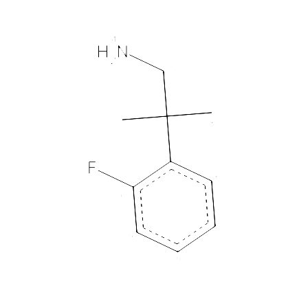 CC(C)(CN)c1ccccc1F